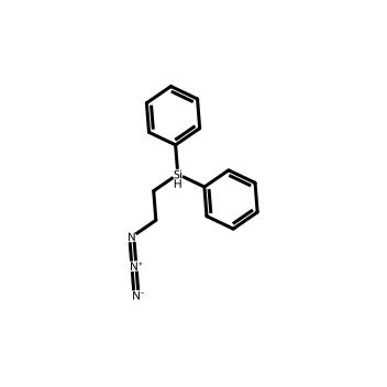 [N-]=[N+]=NCC[SiH](c1ccccc1)c1ccccc1